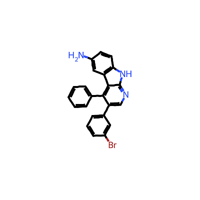 Nc1ccc2[nH]c3ncc(-c4cccc(Br)c4)c(-c4ccccc4)c3c2c1